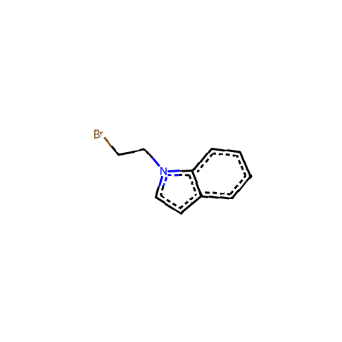 BrCCn1ccc2ccccc21